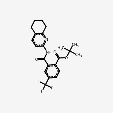 CC(C)(C)OC(=O)c1ccc(C(F)(F)F)cc1C(=O)Nc1ccc2c(n1)CCCC2